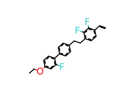 C=Cc1ccc(CCc2ccc(-c3ccc(OCC)cc3F)cc2)c(F)c1F